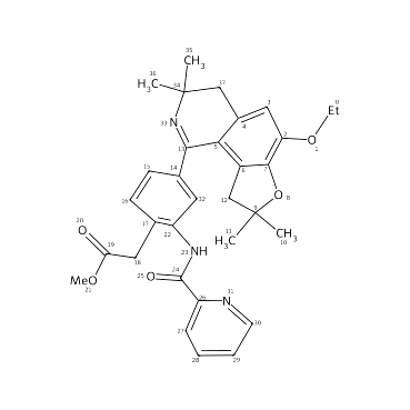 CCOc1cc2c(c3c1OC(C)(C)C3)C(c1ccc(CC(=O)OC)c(NC(=O)c3ccccn3)c1)=NC(C)(C)C2